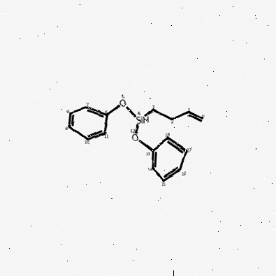 C=CCC[SiH](Oc1ccccc1)Oc1ccccc1